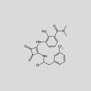 CCC(Cc1cccc(C(F)(F)F)c1)Nc1c(Nc2cccc(C(=O)N(C)C)c2O)c(=O)c1=O